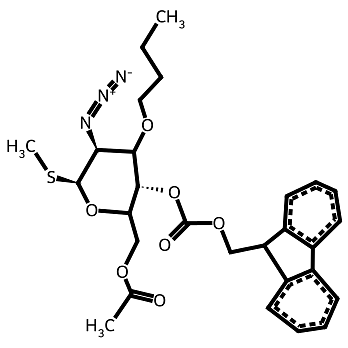 CCCCOC1[C@H](OC(=O)OCC2c3ccccc3-c3ccccc32)C(COC(C)=O)O[C@@H](SC)[C@H]1N=[N+]=[N-]